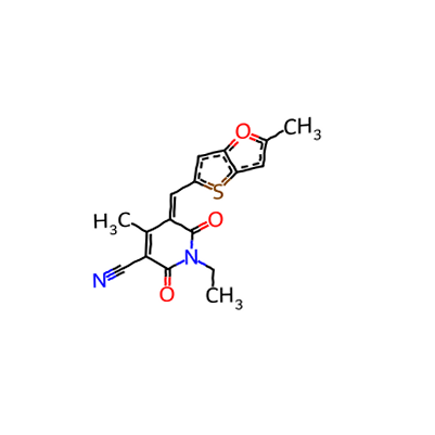 CCN1C(=O)C(C#N)=C(C)/C(=C/c2cc3oc(C)cc3s2)C1=O